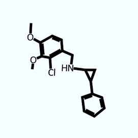 COc1ccc(CNC2CC2c2ccccc2)c(Cl)c1OC